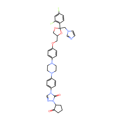 O=C1CCCC1n1ncn(-c2ccc(N3CCN(c4ccc(OCC5COC(Cn6ccnc6)(c6ccc(F)cc6F)O5)cc4)CC3)cc2)c1=O